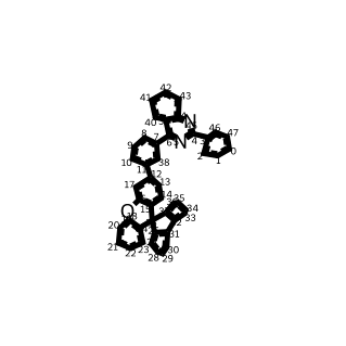 c1ccc(-c2nc(-c3cccc(-c4ccc5c(c4)Oc4ccccc4C54c5ccccc5-c5ccccc54)c3)c3ccccc3n2)cc1